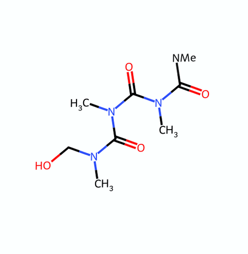 CNC(=O)N(C)C(=O)N(C)C(=O)N(C)CO